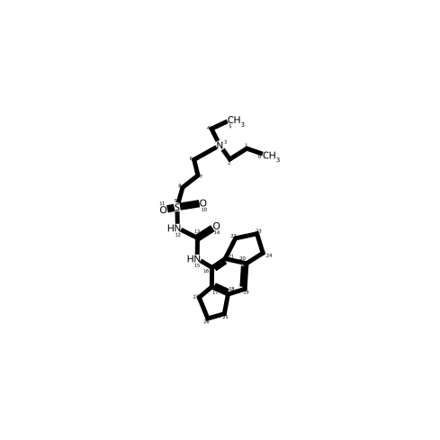 CCCN(CC)CCCS(=O)(=O)NC(=O)Nc1c2c(cc3c1CCC3)CCC2